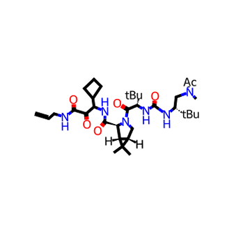 C=CCNC(=O)C(=O)C(NC(=O)[C@@H]1[C@@H]2[C@H](CN1C(=O)[C@@H](NC(=O)N[C@H](CN(C)C(C)=O)C(C)(C)C)C(C)(C)C)C2(C)C)C1CCC1